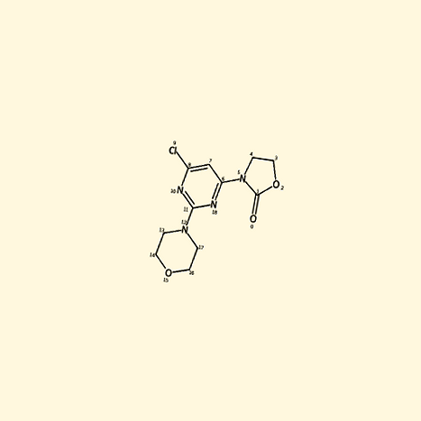 O=C1OCCN1c1cc(Cl)nc(N2CCOCC2)n1